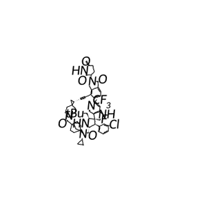 CC(C)(C)C[C@@H]1N[C@@H](C(=O)N(C2CC2)C23CCC(C(=O)N4CCC5(CC4)C[C@@H]5C#Cc4cccc5c4CN(C4CCC(=O)NC4=O)C5=O)(CC2)CC3)[C@H](c2cccc(Cl)c2F)[C@]12CNc1cc(C(F)(F)F)ncc12